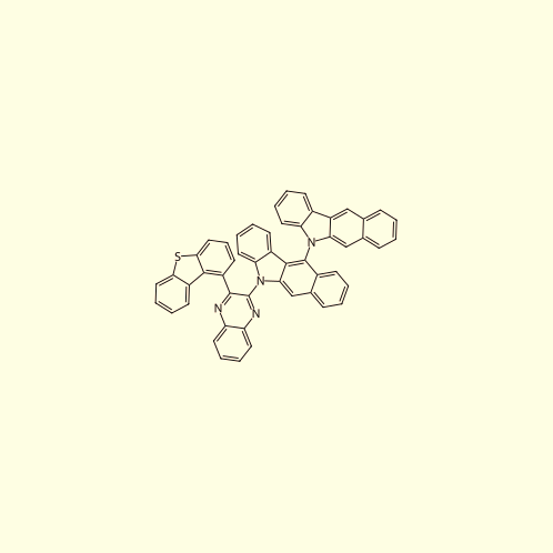 c1ccc2cc3c(cc2c1)c1ccccc1n3-c1c2ccccc2cc2c1c1ccccc1n2-c1nc2ccccc2nc1-c1cccc2sc3ccccc3c12